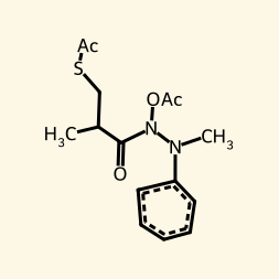 CC(=O)ON(C(=O)C(C)CSC(C)=O)N(C)c1ccccc1